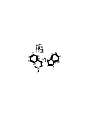 CN(C)C[CH]([Hf][CH]1C=Cc2ccccc21)c1ccccc1.Cl.Cl.Cl